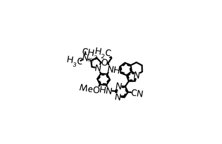 C=CC(=O)Nc1cc(Nc2ncc(C#N)c(-c3cn4c5c(cccc35)CCC4)n2)c(OC)cc1N1CC[C@H](N(C)C)C1